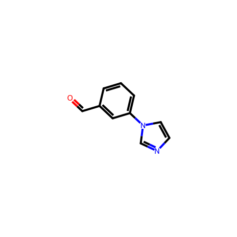 O=Cc1cccc(-n2ccnc2)c1